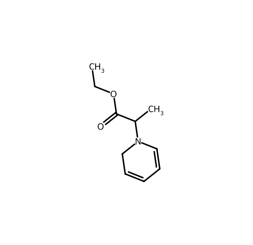 CCOC(=O)C(C)N1C=CC=CC1